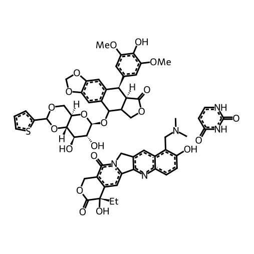 CC[C@@]1(O)C(=O)OCc2c1cc1n(c2=O)Cc2cc3c(CN(C)C)c(O)ccc3nc2-1.COc1cc([C@@H]2c3cc4c(cc3C(O[C@@H]3O[C@@H]5COC(c6cccs6)O[C@H]5[C@H](O)[C@H]3O)C3COC(=O)[C@@H]32)OCO4)cc(OC)c1O.O=c1cc[nH]c(=O)[nH]1